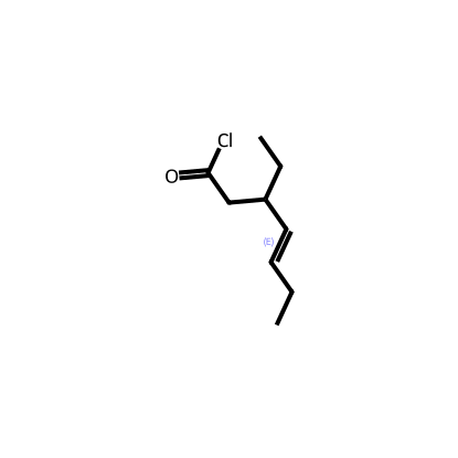 CC/C=C/C(CC)CC(=O)Cl